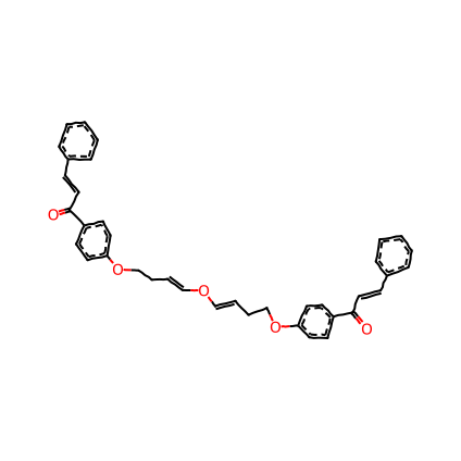 O=C(/C=C/c1ccccc1)c1ccc(OCCC=COC=CCCOc2ccc(C(=O)/C=C/c3ccccc3)cc2)cc1